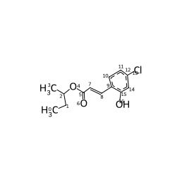 CCC(C)OC(=O)C=Cc1ccc(Cl)cc1O